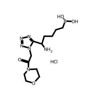 Cl.NC(CCCCB(O)O)c1nnnn1CC(=O)N1CCOCC1